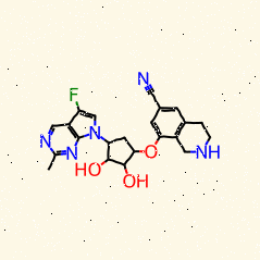 Cc1ncc2c(F)cn(C3CC(Oc4cc(C#N)cc5c4CNCC5)C(O)C3O)c2n1